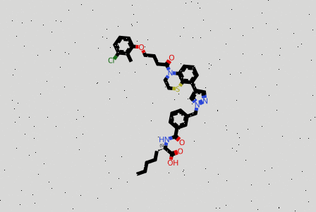 CCCCC[C@H](NC(=O)c1cccc(Cn2cc(-c3cccc4c3SCCN4C(=O)CCCOc3cccc(Cl)c3C)cn2)c1)C(=O)O